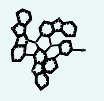 CC(C)(C)c1ccc(N2c3cc4c(sc5ccccc54)c4c3B(c3ccc5sc6ccccc6c5c32)n2c3c-4cccc3c3oc4ccccc4c32)c(-c2ccccc2)c1